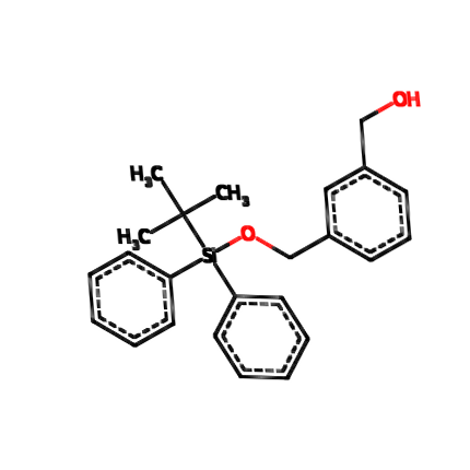 CC(C)(C)[Si](OCc1cccc(CO)c1)(c1ccccc1)c1ccccc1